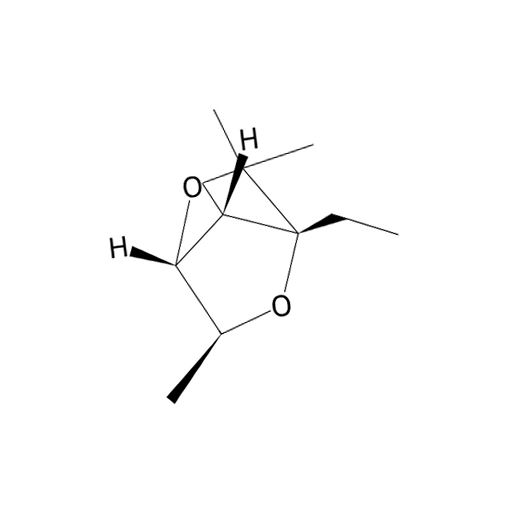 CC[C@]12O[C@@H](C)[C@H](OC1(C)C)[C@@H]2C